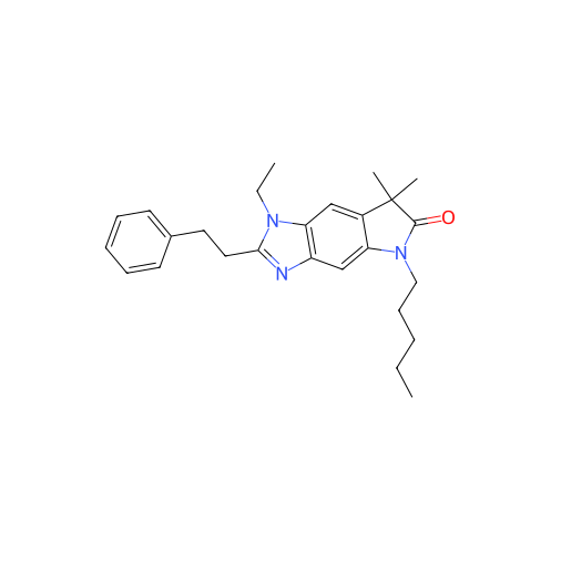 CCCCCN1C(=O)C(C)(C)c2cc3c(cc21)nc(CCc1ccccc1)n3CC